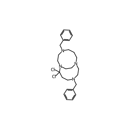 ClC1(Cl)CCN(Cc2ccccc2)CCN2CCCN(Cc3ccccc3)CCN1CC2